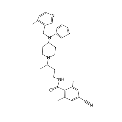 Cc1ccncc1CN(c1ccccc1)C1CCN(C(C)CCNC(=O)c2c(C)cc(C#N)cc2C)CC1